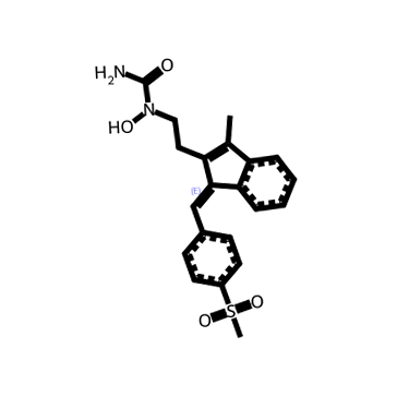 CC1=C(CCN(O)C(N)=O)/C(=C/c2ccc(S(C)(=O)=O)cc2)c2ccccc21